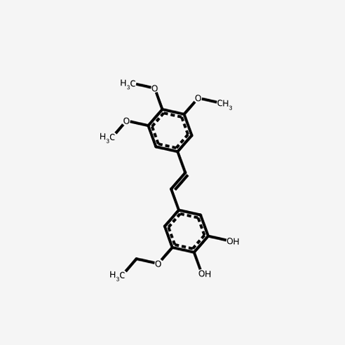 CCOc1cc(C=Cc2cc(OC)c(OC)c(OC)c2)cc(O)c1O